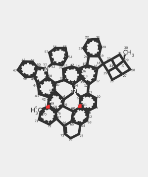 Cc1ccc(N(c2ccccc2-c2ccc3c(c2)C2(c4ccccc4-3)C3CC4C[C@@]5(C)CC2C435)c2ccccc2-c2cccc3c4ccccc4n(-c4ccccc4)c23)c(-c2cccc3c2C(c2ccccc2)=CCC3)c1